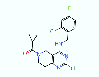 O=C(C1CC1)N1CCc2nc(Cl)nc(NCc3ccc(F)cc3Cl)c2C1